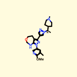 COc1ncc(-n2nc(-c3cnn([C@H](C)C4CCN(C)CC4)c3)c3c2NCOCC3)cc1C